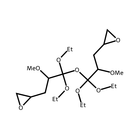 CCOC(OCC)(OC(OCC)(OCC)C(CC1CO1)OC)C(CC1CO1)OC